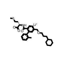 CSCC[C@H](NC(=O)c1ccc(COCCCC2CCCCC2)cc1-c1ccccc1C)C(=O)[O-].[Li+]